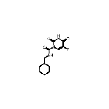 O=C(NCC1CCCCC1)n1cc(F)c(=O)[nH]c1=O